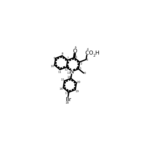 Cc1c(CC(=O)O)c(=O)c2ccccc2n1-c1ccc(Br)cc1